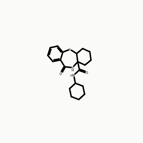 O=C1NC2(C(=O)NC3CCCCC3)CCCCC2Sc2ccccc21